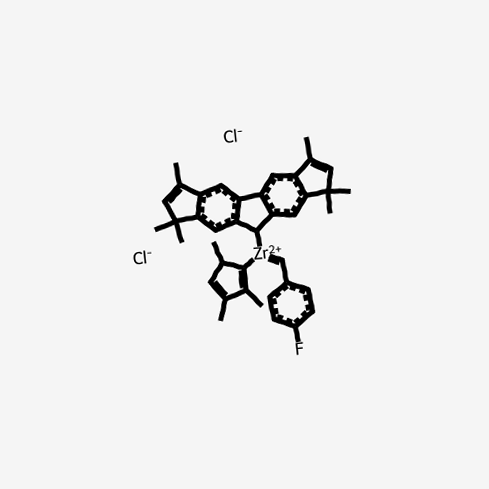 CC1=CC(C)[C](/[Zr+2](=[CH]\c2ccc(F)cc2)[CH]2c3cc4c(cc3-c3cc5c(cc32)C(C)(C)C=C5C)C(C)=CC4(C)C)=C1C.[Cl-].[Cl-]